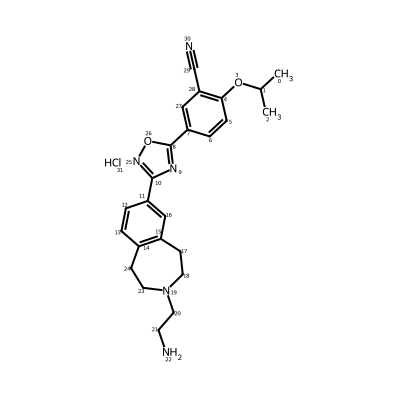 CC(C)Oc1ccc(-c2nc(-c3ccc4c(c3)CCN(CCN)CC4)no2)cc1C#N.Cl